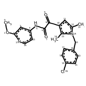 COc1cc(NC(=O)C(=O)c2cc(C)n(Cc3ccc(Cl)cc3)c2C)ccn1